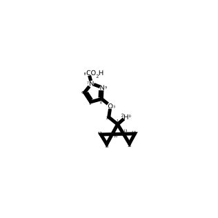 [2H]C1(COc2ccn(C(=O)O)n2)C2(CC2)C12CC2